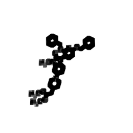 COC(CC1CCN(c2ccc3c(c2)n(C)c(=O)n3-c2ccc(OCc3ccccc3)nc2OCc2ccccc2)CC1)OC